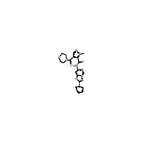 Cn1ncc(C(=O)N2CCOCC2)c1C(=O)Nc1cc2nc(-c3ccccc3)nn2cn1